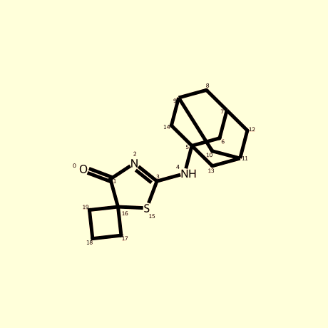 O=C1N=C(NC23CC4CC(CC(C4)C2)C3)SC12CCC2